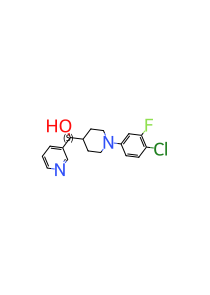 O[C@H](c1cccnc1)C1CCN(c2ccc(Cl)c(F)c2)CC1